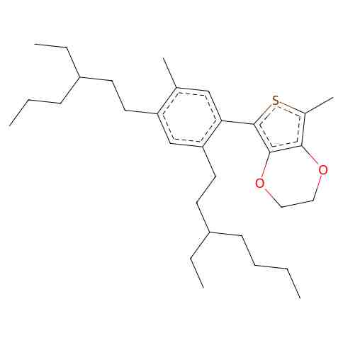 CCCCC(CC)CCc1cc(CCC(CC)CCC)c(C)cc1-c1sc(C)c2c1OCCO2